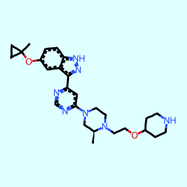 C[C@H]1CN(c2cc(-c3n[nH]c4ccc(OC5(C)CC5)cc34)ncn2)CCN1CCOC1CCNCC1